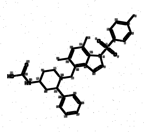 Cc1ccc(S(=O)(=O)n2ccc3c(CN4CCC(NC(=O)O)CC4c4ccccc4)c(C)cc(C)c32)cc1